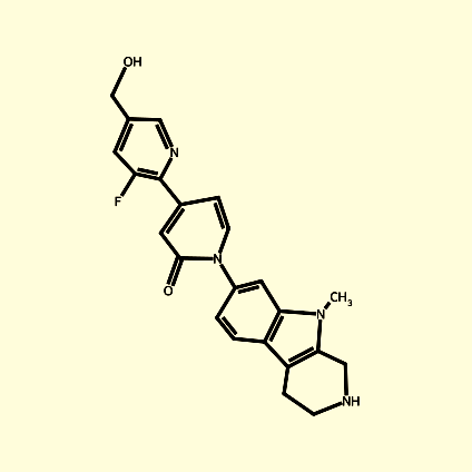 Cn1c2c(c3ccc(-n4ccc(-c5ncc(CO)cc5F)cc4=O)cc31)CCNC2